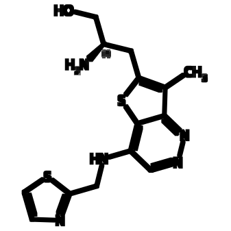 Cc1c(C[C@@H](N)CO)sc2c(NCc3nccs3)cnnc12